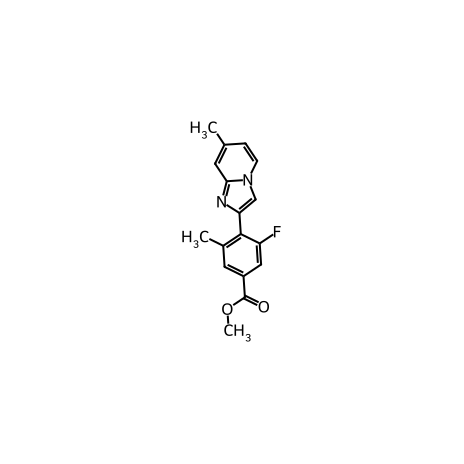 COC(=O)c1cc(C)c(-c2cn3ccc(C)cc3n2)c(F)c1